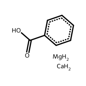 O=C(O)c1ccccc1.[CaH2].[MgH2]